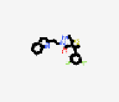 O=c1c2c(-c3cc(F)cc(F)c3)csc2cnn1CCc1ccc2ccccc2n1